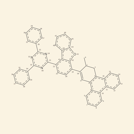 CC1Cc2c(c3ccccc3c3ccccc23)C=C1c1ccc(-c2nc(-c3ccccc3)nc(-c3ccccc3)n2)c2c1oc1ccccc12